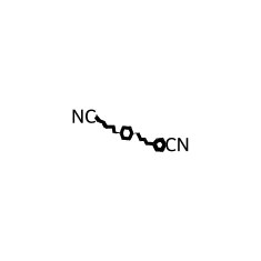 N#CC=CC=CCC[C@H]1CC[C@H](CCCCc2ccc(C#N)cc2)CC1